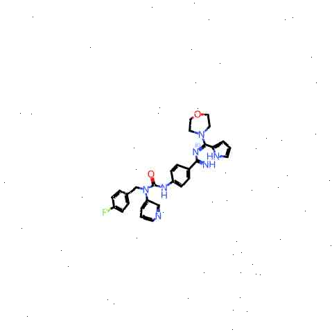 N=C(/N=C(\c1ccc[nH]1)N1CCOCC1)c1ccc(NC(=O)N(Cc2ccc(F)cc2)c2cccnc2)cc1